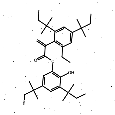 C=C(C(=O)Oc1cc(C(C)(C)CC)cc(C(C)(C)CC)c1O)c1c(CC)cc(C(C)(C)CC)cc1C(C)(C)CC